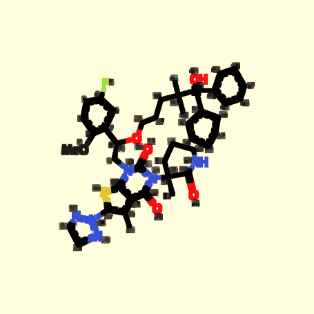 COc1ccc(F)cc1[C@H](Cn1c(=O)n([C@]2(C)CCCNC2=O)c(=O)c2c(C)c(-n3nccn3)sc21)OCCCC(C)(C)[Si](O)(c1ccccc1)c1ccccc1